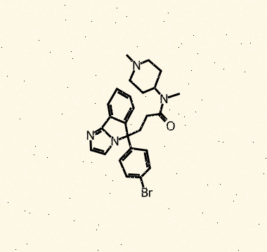 CN1CCC(N(C)C(=O)CCC2(c3ccc(Br)cc3)c3ccccc3-c3nccn32)CC1